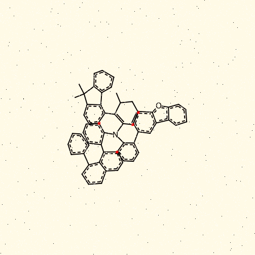 CC1CC=CC(N(c2ccccc2-c2ccc3oc4ccccc4c3c2)c2ccccc2-c2cccc3cccc(-c4ccccc4)c23)=C1c1cccc2c1-c1ccccc1C2(C)C